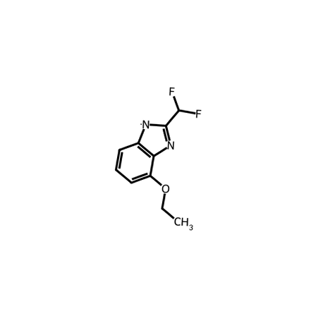 CCOc1cccc2c1N=C(C(F)F)[N]2